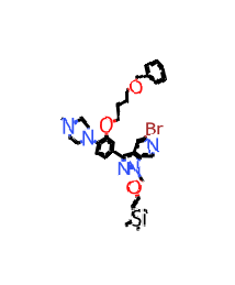 CN1CCN(c2ccc(-c3nn(COCC[Si](C)(C)C)c4cnc(Br)cc34)cc2OCCCCOCc2ccccc2)CC1